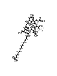 CC(C)[C@H](NC(=O)C(CCC(=O)O)NC(=O)[C@H](CC(=O)O)NC(=O)Cn1cc(CCCF)nn1)C(=O)NC(CC(=O)O)C(=O)NCC(=O)NCCOCCOCCOCCOCCC(=O)O